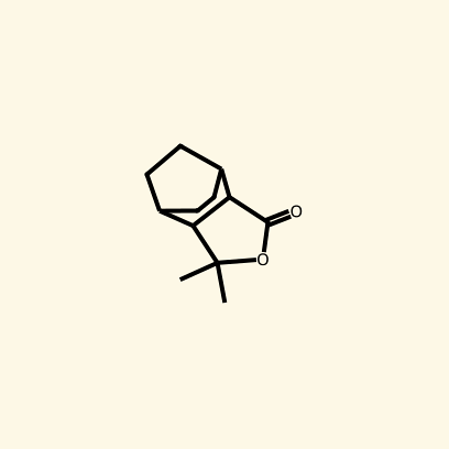 CC1(C)OC(=O)C2C3CCC(CC3)C21